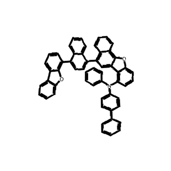 c1ccc(-c2ccc(N(c3ccccc3)c3cccc4oc5c6ccccc6c(-c6ccc(-c7cccc8c7oc7ccccc78)c7ccccc67)cc5c34)cc2)cc1